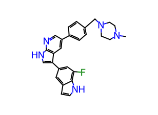 CN1CCN(Cc2ccc(-c3cnc4[nH]cc(-c5cc(F)c6[nH]ccc6c5)c4c3)cc2)CC1